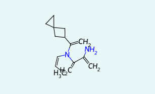 C=C(N)C(=C)N(/C=C\C)C(=C)C1CC2(CC2)C1